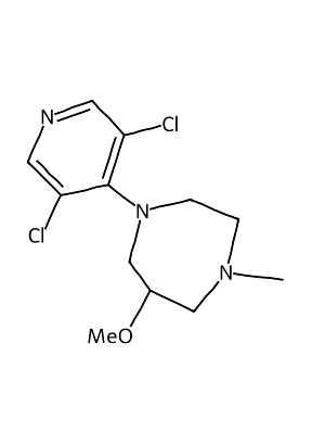 COC1CN(C)CCN(c2c(Cl)cncc2Cl)C1